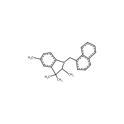 Cc1ccc2c(c1)C(C)(C)C(C)N2Cc1cccc2ccccc12